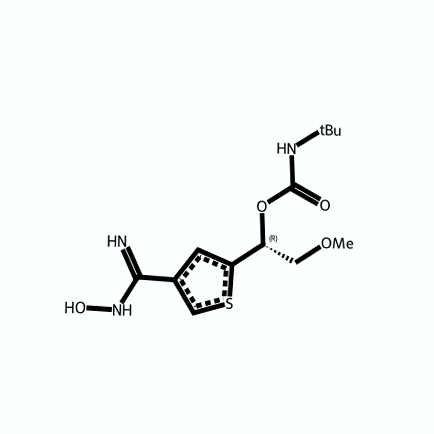 COC[C@@H](OC(=O)NC(C)(C)C)c1cc(C(=N)NO)cs1